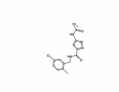 Cc1ccc(Cl)cc1CNC(=O)c1cc(NC(=O)C(F)(F)F)no1